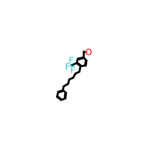 O=Cc1ccc(CCCCCCc2ccccc2)c(C(F)(F)F)c1